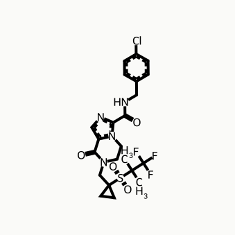 CC(C)(C(F)(F)F)S(=O)(=O)C1(CN2CCn3c(cnc3C(=O)NCc3ccc(Cl)cc3)C2=O)CC1